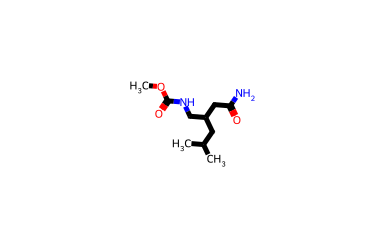 COC(=O)NCC(CC(N)=O)CC(C)C